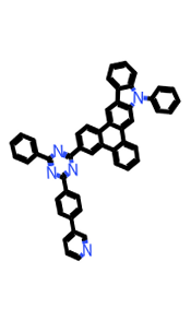 c1ccc(-c2nc(-c3ccc(-c4cccnc4)cc3)nc(-c3ccc4c(c3)c3ccccc3c3cc5c(cc43)c3ccccc3n5-c3ccccc3)n2)cc1